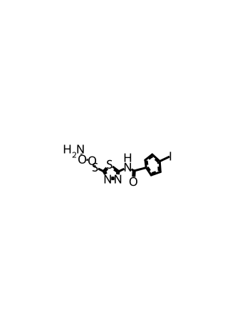 NOOSc1nnc(NC(=O)c2ccc(I)cc2)s1